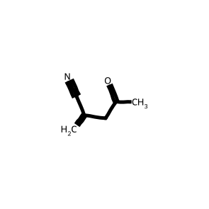 C=C(C#N)CC(C)=O